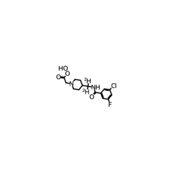 [2H]C([2H])(NC(=O)c1cc(F)cc(Cl)c1)C1CCN(CC(=O)OO)CC1